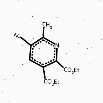 CCOC(=O)c1cc(C(C)=O)c(C)nc1C(=O)OCC